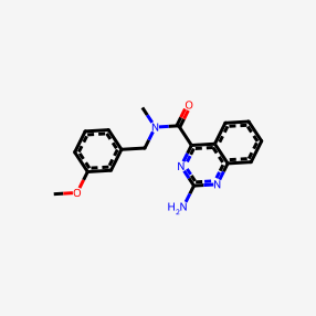 COc1cccc(CN(C)C(=O)c2nc(N)nc3ccccc23)c1